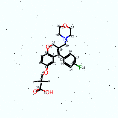 CC(C)(COc1ccc2c(c1)C(c1ccc(F)cc1)=C(CN1CCOCC1)CO2)C(=O)O